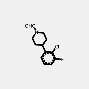 O=CN1CCC(c2cccc(F)c2Cl)CC1